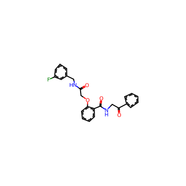 O=C(COc1ccccc1C(=O)NCC(=O)c1ccccc1)NCc1cccc(F)c1